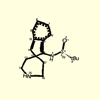 CC(C)(C)[S@@+]([O-])NC1=c2ccccc2=CC12CCNCC2